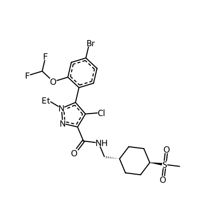 CCn1nc(C(=O)NC[C@H]2CC[C@H](S(C)(=O)=O)CC2)c(Cl)c1-c1ccc(Br)cc1OC(F)F